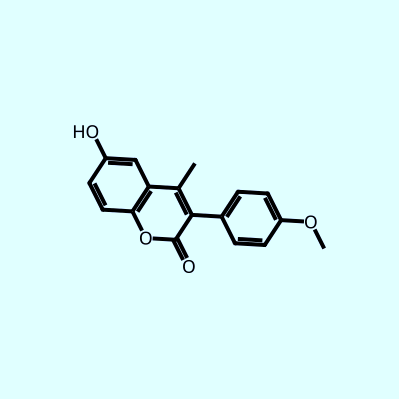 COc1ccc(-c2c(C)c3cc(O)ccc3oc2=O)cc1